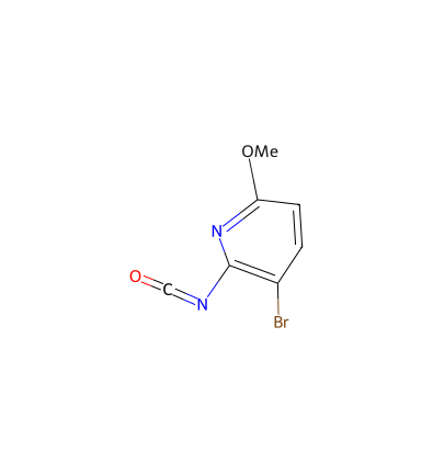 COc1ccc(Br)c(N=C=O)n1